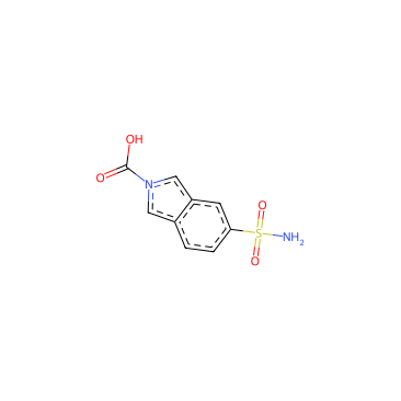 NS(=O)(=O)c1ccc2cn(C(=O)O)cc2c1